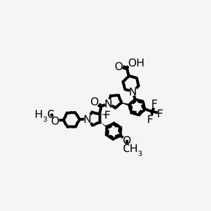 COc1ccc([C@@H]2CN(C3CCC(OC)CC3)C[C@@]2(F)C(=O)N2CC[C@@H](c3ccc(C(F)(F)F)cc3N3CCC(C(=O)O)CC3)C2)cc1